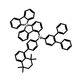 CC1(C)CCC(C)(C)c2c(-c3ccc(N(c4ccc(-c5ccccc5)c(-c5ccccc5)c4)c4cccc5c4-c4ccccc4[Si]54c5ccccc5-c5ccccc54)cc3)cccc21